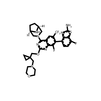 Nc1nc2c(-c3c(C(F)(F)F)cc4c(N5C[C@H]6CC[C@@H](C5)N6)nc(OCC5(CN6CCOCC6)CC5)nc4c3F)ccc(F)c2s1